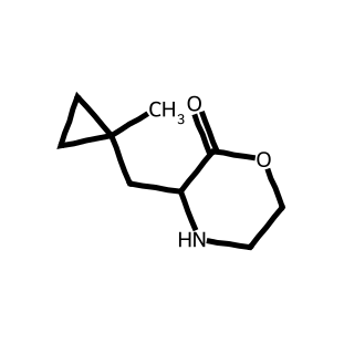 CC1(CC2NCCOC2=O)CC1